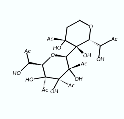 CC(=O)C(O)[C@H]1O[CH]C[C@](O)(C(C)=O)[C@@]1(O)[C@@H]1O[C@H](C(O)C(C)=O)[C@@](O)(C(C)=O)[C@@](O)(C(C)=O)[C@]1(O)C(C)=O